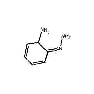 N/N=C1/C=CC=CC1N